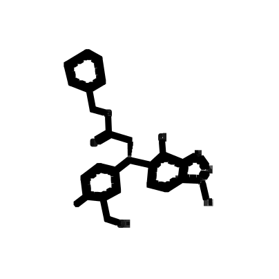 CCn1nnc2c(Cl)c([C@@H](CC(=O)OCc3ccccc3)c3ccc(C)c(CO)c3)ccc21